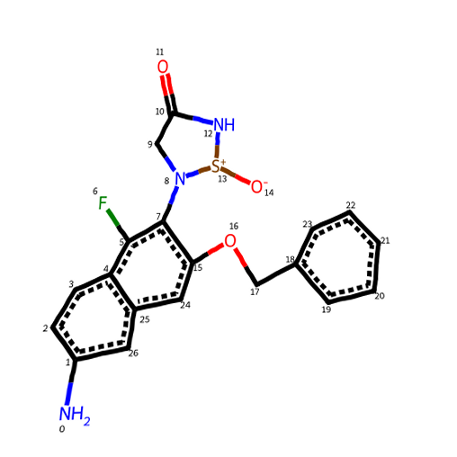 Nc1ccc2c(F)c(N3CC(=O)N[S+]3[O-])c(OCc3ccccc3)cc2c1